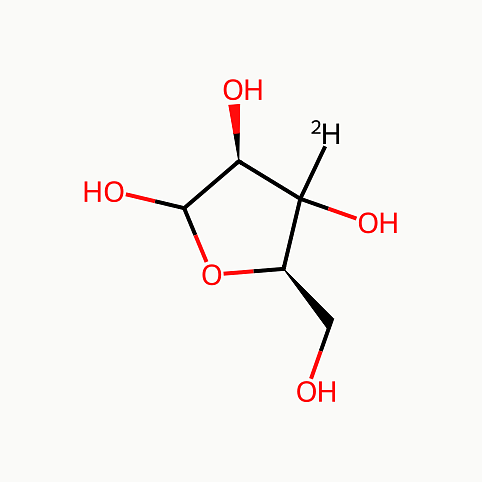 [2H]C1(O)[C@H](O)C(O)O[C@@H]1CO